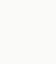 CC(F)C(Cl)Cl